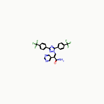 NC(=O)/C(=C/n1nc(-c2ccc(C(F)(F)F)cc2)nc1-c1ccc(C(F)(F)F)cc1)c1cncnc1